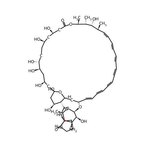 C[C@@H]1[C@H](O)[C@@H](C)/C=C/C=C/C=C/C=C/C=C/C=C/C=C/[C@H](O[C@@H]2O[C@H](C)[C@@H](O)[C@H](N)[C@@H]2O)C[C@@H]2O[C@](O)(C[C@@H](O)C[C@@H](O)[C@H](O)CC[C@@H](O)C[C@@H](O)CC(=O)O[C@H]1C)C[C@H](O)[C@H]2C(=O)N[C@H]1CCC[C@H]1O